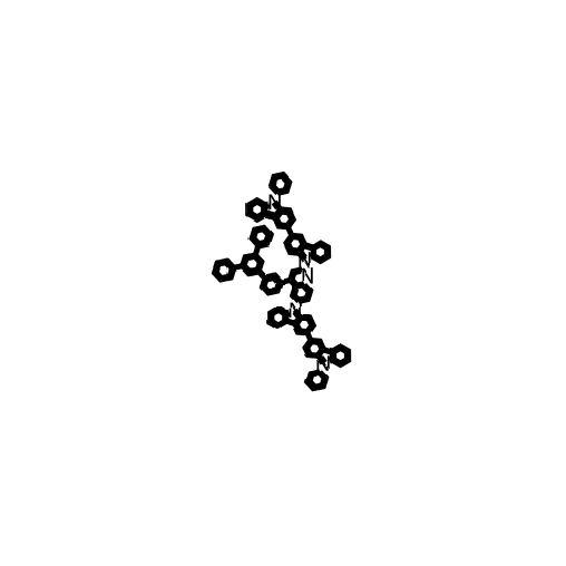 c1ccc(-c2cc(-c3ccccc3)cc(-c3cccc(-c4cc(-n5c6ccccc6c6cc(-c7ccc8c(c7)c7ccccc7n8-c7ccccc7)ccc65)nc5ccc(-n6c7ccccc7c7cc(-c8ccc9c(c8)c8ccccc8n9-c8ccccc8)ccc76)cc45)c3)c2)cc1